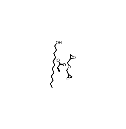 C(OCC1CO1)C1CO1.C=CC(=O)O.CCCCCCCCCCCCO